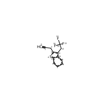 C#CCc1sc2ccccc2c1CC(F)(F)F